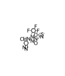 Cn1cc2cc(Nc3nc(=O)n(CC4=CCS(C)=N4)c(=O)n3Cc3cc(F)c(F)cc3F)c(Cl)cc2n1